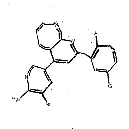 Nc1ncc(-c2cc(-c3cc(Cl)ccc3F)nc3ncccc23)cc1Br